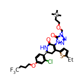 CCc1ccc(C2=C(n3nnn(COCC[Si](C)(C)C)c3=O)C(=O)N[C@H](c3ccc(OCCCC(F)(F)F)cc3Cl)C2)s1